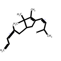 C=C/C=C(/I)CC1CC(/C=C\C(C)I)=C(C)C1(C)C